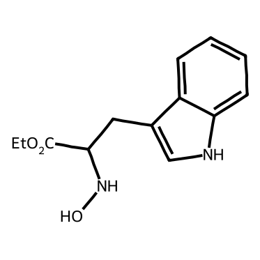 CCOC(=O)C(Cc1c[nH]c2ccccc12)NO